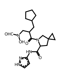 O=CN(O)CC(CC1CCCC1)C(=O)N1CC2(CC2)CC1C(=O)Nc1cc[nH]n1